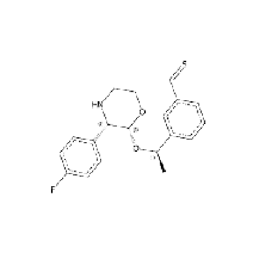 C[C@@H](O[C@H]1OCCN[C@H]1c1ccc(F)cc1)c1cccc(C=S)c1